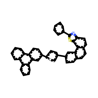 c1ccc(-c2nc3ccc4ccc5ccc(-c6ccc(-c7ccc8c9ccccc9c9ccccc9c8c7)cc6)cc5c4c3s2)cc1